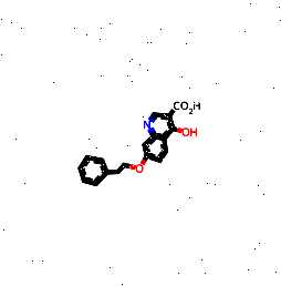 O=C(O)c1cnc2cc(OCCc3ccccc3)ccc2c1O